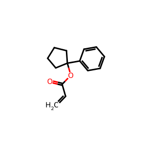 C=CC(=O)OC1(c2ccccc2)CCCC1